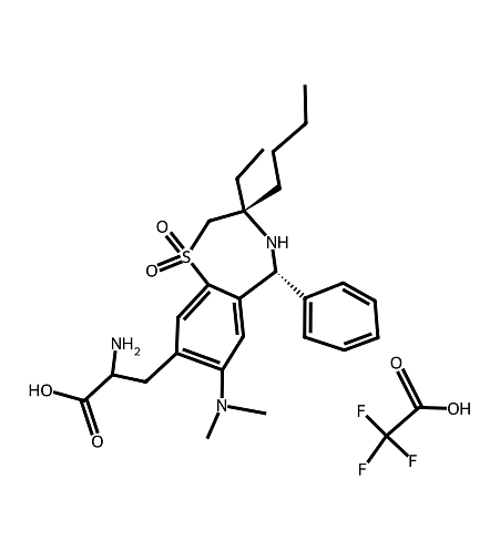 CCCC[C@]1(CC)CS(=O)(=O)c2cc(CC(N)C(=O)O)c(N(C)C)cc2[C@@H](c2ccccc2)N1.O=C(O)C(F)(F)F